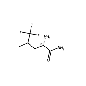 CC(C[C@H](N)C(N)=O)C(F)(F)F